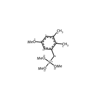 COc1cc(C)c(C)c(C[Si](OC)(OC)OC)c1